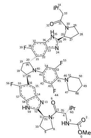 COC(=O)N[C@H](C(=O)N1CCC[C@H]1c1nc2cc([C@H]3CC[C@H](c4cc5nc([C@@H]6CCCN6C(=O)[CH]C(C)C)[nH]c5cc4F)N3c3cc(F)c(N4CCCCC4)c(F)c3)c(F)cc2[nH]1)C(C)C